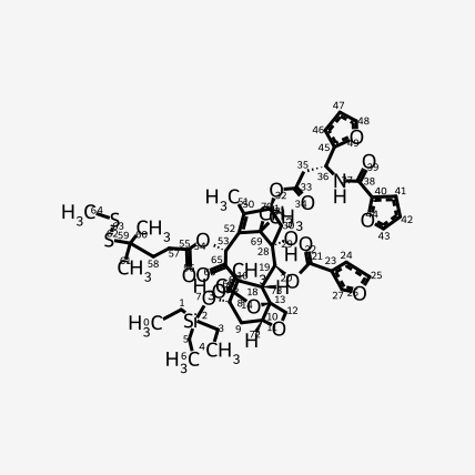 CC[Si](CC)(CC)O[C@H]1C[C@H]2OC[C@@]2(OC(C)=O)[C@H]2[C@H](OC(=O)c3ccoc3)[C@]3(O)C[C@H](OC(=O)C[C@@H](NC(=O)c4ccco4)c4ccco4)C(C)=C([C@@H](OC(=O)CCC(C)(C)SSC)C(=O)[C@]12C)C3(C)C